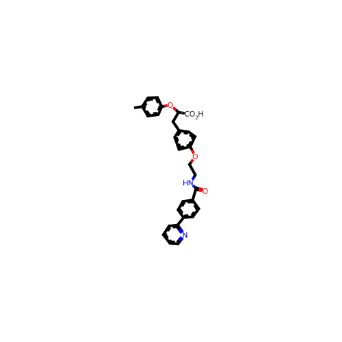 Cc1ccc(OC(Cc2ccc(OCCNC(=O)c3ccc(-c4ccccn4)cc3)cc2)C(=O)O)cc1